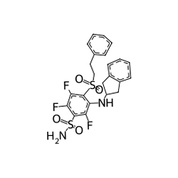 NS(=O)(=O)c1c(F)c(F)c(S(=O)(=O)CCc2ccccc2)c(NC2Cc3ccccc3C2)c1F